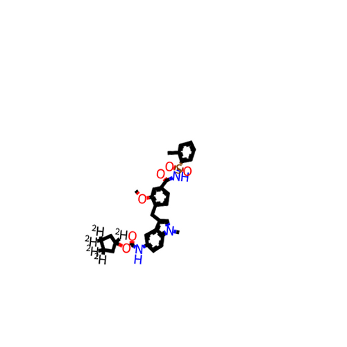 [2H]C1(OC(=O)Nc2ccc3c(c2)c(Cc2ccc(C(=O)NS(=O)(=O)c4ccccc4C)cc2OC)cn3C)CC([2H])([2H])C([2H])([2H])C1